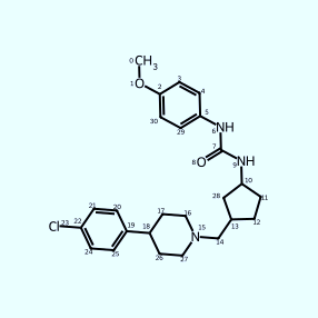 COc1ccc(NC(=O)NC2CCC(CN3CCC(c4ccc(Cl)cc4)CC3)C2)cc1